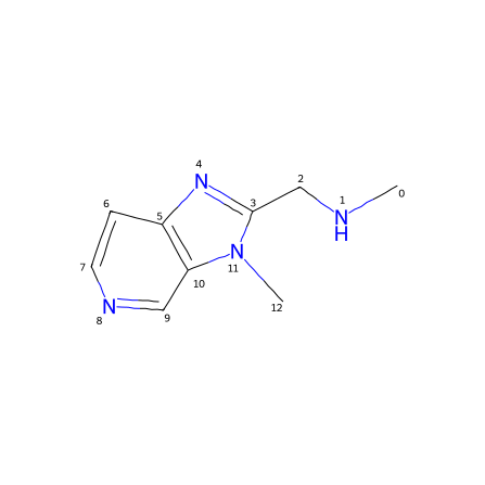 CNCc1nc2ccncc2n1C